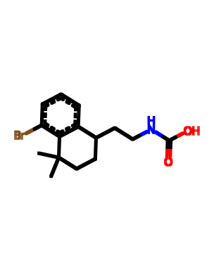 CC1(C)CCC(CCNC(=O)O)c2cccc(Br)c21